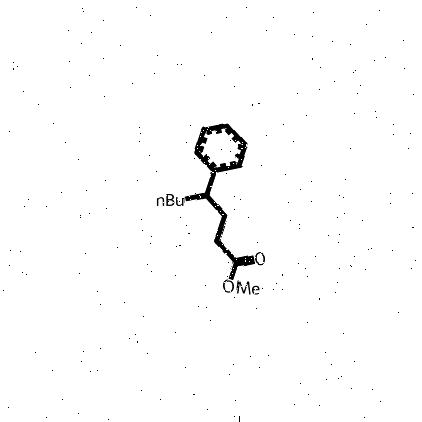 CCCCC(CCC(=O)OC)c1ccccc1